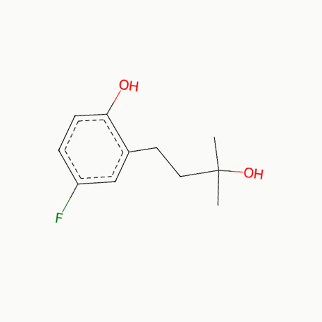 CC(C)(O)CCc1cc(F)ccc1O